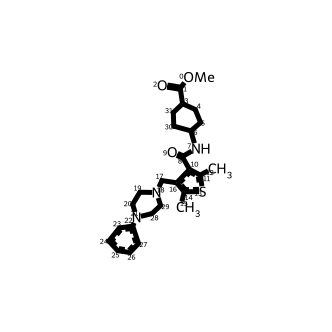 COC(=O)C1CCC(NC(=O)c2c(C)sc(C)c2CN2CCN(c3ccccc3)CC2)CC1